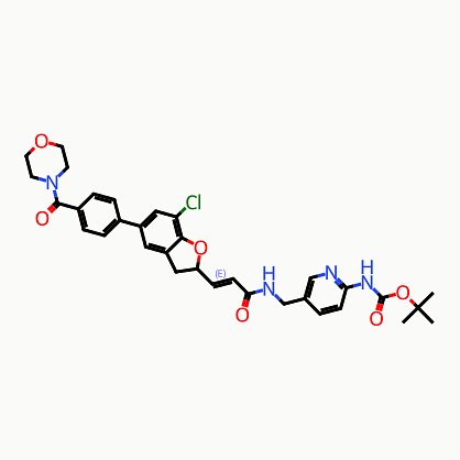 CC(C)(C)OC(=O)Nc1ccc(CNC(=O)/C=C/C2Cc3cc(-c4ccc(C(=O)N5CCOCC5)cc4)cc(Cl)c3O2)cn1